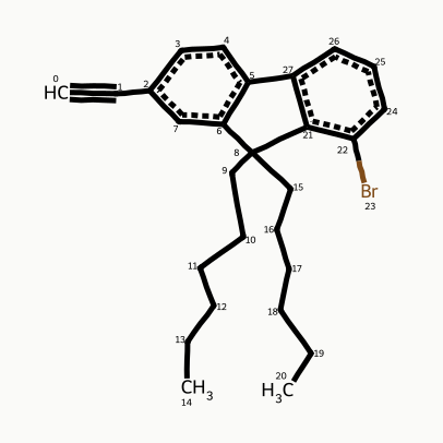 C#Cc1ccc2c(c1)C(CCCCCC)(CCCCCC)c1c(Br)cccc1-2